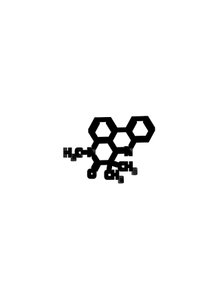 CN1C(=O)C(C)(C)c2nc3ccccc3c3cccc1c23